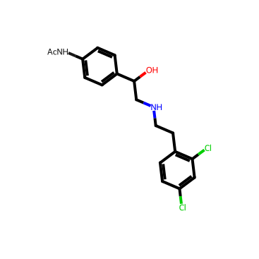 CC(=O)Nc1ccc(C(O)CNCCc2ccc(Cl)cc2Cl)cc1